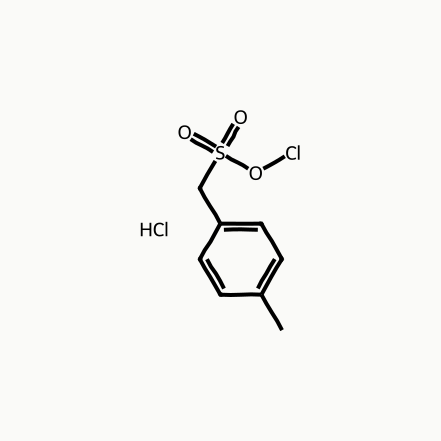 Cc1ccc(CS(=O)(=O)OCl)cc1.Cl